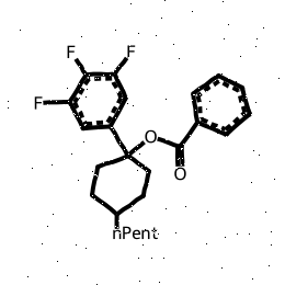 CCCCCC1CCC(OC(=O)c2ccccc2)(c2cc(F)c(F)c(F)c2)CC1